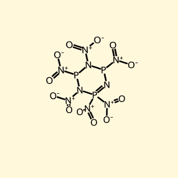 O=[N+]([O-])N1P([N+](=O)[O-])N=P([N+](=O)[O-])([N+](=O)[O-])N([N+](=O)[O-])P1[N+](=O)[O-]